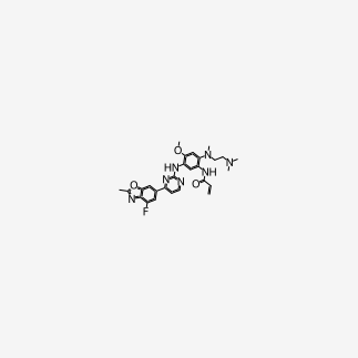 C=CC(=O)Nc1cc(Nc2nccc(-c3cc(F)c4nc(C)oc4c3)n2)c(OC)cc1N(C)CCN(C)C